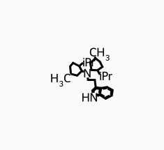 CC1CCC(C(C)C)C(N(CCc2c[nH]c3ccccc23)C2CC(C)CCC2C(C)C)C1